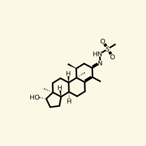 CC1=C2CC[C@H]3[C@@H]4CC[C@H](O)[C@@]4(C)CC[C@@H]3[C@@]2(C)[C@@H](C)C/C1=N\NS(C)(=O)=O